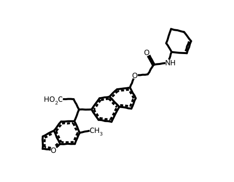 Cc1cc2occc2cc1C(CC(=O)O)c1ccc2ccc(OCC(=O)NC3C=CCCC3)cc2c1